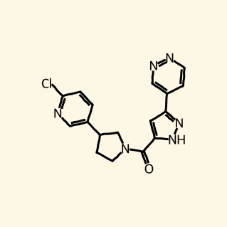 O=C(c1cc(-c2ccnnc2)n[nH]1)N1CCC(c2ccc(Cl)nc2)C1